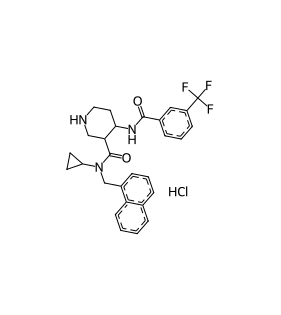 Cl.O=C(NC1CCNCC1C(=O)N(Cc1cccc2ccccc12)C1CC1)c1cccc(C(F)(F)F)c1